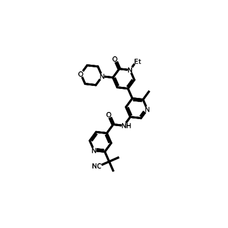 CCn1cc(-c2cc(NC(=O)c3ccnc(C(C)(C)C#N)c3)cnc2C)cc(N2CCOCC2)c1=O